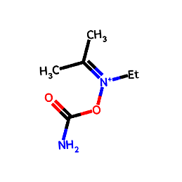 CC[N+](OC(N)=O)=C(C)C